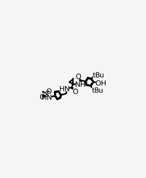 CC(C)(C)c1cc(C(=O)NC2(C(=O)NCc3ccc(NS(C)(=O)=O)cc3)CC2)cc(C(C)(C)C)c1O